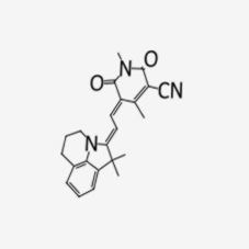 CC1=C(C#N)C(=O)N(C)C(=O)/C1=C/C=C1\N2CCCc3cccc(c32)C1(C)C